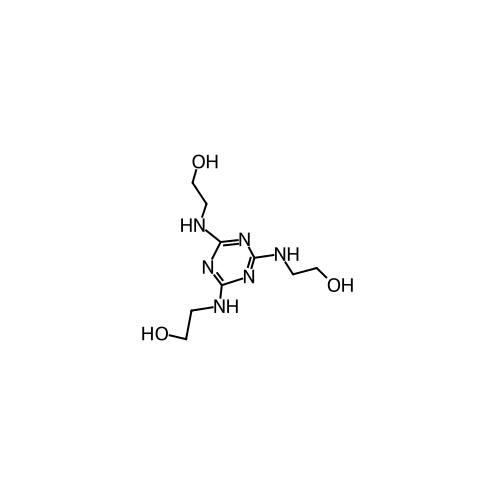 OCCNc1nc(NCCO)nc(NCCO)n1